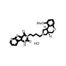 COc1cccc2c1[C@@H]1CN(CCCCn3c(=O)[nH]c4c(sc5ncccc54)c3=O)C[C@H]1CO2.Cl